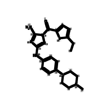 CCc1ccc(C(=O)n2nc(Nc3ccc(N4CCN(C)CC4)cc3)nc2N)s1